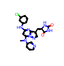 CN(c1cccnc1)c1cc(Nc2cccc(Cl)c2)nc2c(/C=C3/NC(=O)NC3=O)cnn12